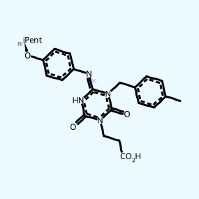 CCC[C@H](C)Oc1ccc(/N=c2\[nH]c(=O)n(CCC(=O)O)c(=O)n2Cc2ccc(C)cc2)cc1